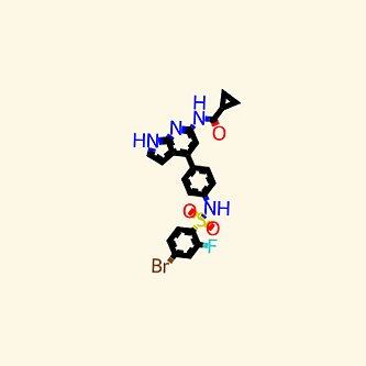 O=C(Nc1cc(-c2ccc(NS(=O)(=O)c3ccc(Br)cc3F)cc2)c2cc[nH]c2n1)C1CC1